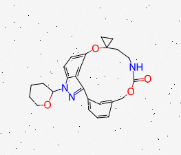 O=C1NCCC2(CC2)Oc2ccc3c(c2)c(nn3C2CCCCO2)-c2cccc(c2)CO1